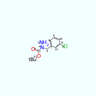 CC(C)(C)OC(=O)N(N)Cc1cccc(Cl)c1